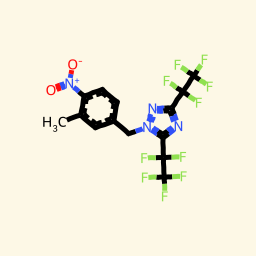 Cc1cc(Cn2nc(C(F)(F)C(F)(F)F)nc2C(F)(F)C(F)(F)F)ccc1[N+](=O)[O-]